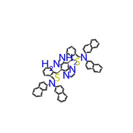 Nc1c(N)c(-c2sc(N(c3ccc4ccccc4c3)c3ccc4ccccc4c3)c3ccccc23)c2nccnc2c1-c1sc(N(c2ccc3ccccc3c2)c2ccc3ccccc3c2)c2ccccc12